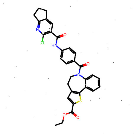 CCOC(=O)c1cc2c(s1)-c1ccccc1N(C(=O)c1ccc(NC(=O)c3cc4c(nc3Cl)CCC4)cc1)CC2